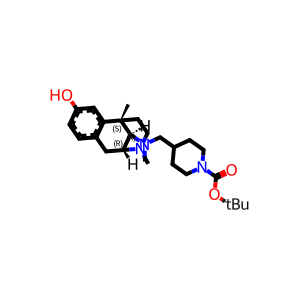 CN1CC[C@@]2(C)c3cc(O)ccc3C[C@@H]1[C@@H]2N(C)CC1CCN(C(=O)OC(C)(C)C)CC1